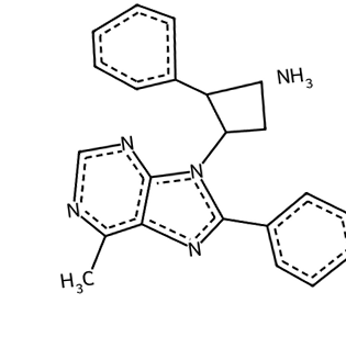 Cc1ncnc2c1nc(-c1ccccc1)n2C1CCC1c1ccccc1.N